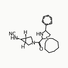 N#CN[C@H]1[C@@H]2CN(C(=O)C3NC(c4ccccc4)CS34CCCCCCC4)C[C@@H]21